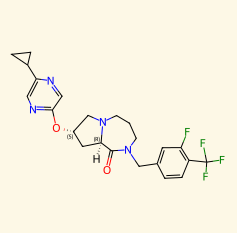 O=C1[C@H]2C[C@H](Oc3cnc(C4CC4)cn3)CN2CCCN1Cc1ccc(C(F)(F)F)c(F)c1